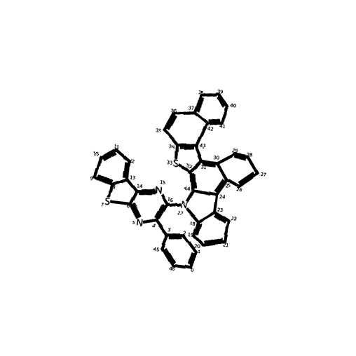 c1ccc(-c2nc3sc4ccccc4c3nc2-n2c3ccccc3c3c4ccccc4c4c(sc5ccc6ccccc6c54)c32)cc1